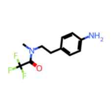 CN(CCc1ccc(N)cc1)C(=O)C(F)(F)F